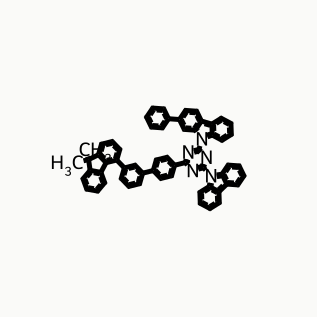 CC1(C)c2ccccc2-c2c(-c3cccc(-c4ccc(-c5nc(-n6c7ccccc7c7ccccc76)nc(-n6c7ccccc7c7ccc(-c8ccccc8)cc76)n5)cc4)c3)cccc21